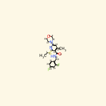 CCSc1nc(N2CCOCC2)cc(C)c1C(=O)NCc1ccc(F)cc1F